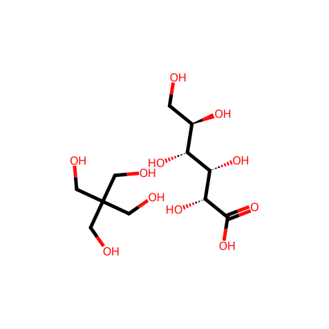 O=C(O)[C@H](O)[C@@H](O)[C@H](O)[C@H](O)CO.OCC(CO)(CO)CO